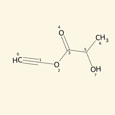 C#COC(=O)C(C)O